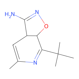 CC1=CC2C(N)=NOC2C(C(C)(C)C)=N1